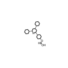 OBOc1ccc(-c2cc(-c3ccccc3)cc(-c3ccccc3)n2)cc1